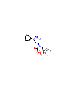 CC(C)(C)CN(CCC(N)c1ccccc1)C(=O)O